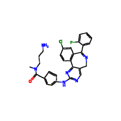 CN(CCCN)C(=O)c1ccc(Nc2ncc3c(n2)-c2ccc(Cl)cc2C(c2ccccc2F)=NC3)cc1